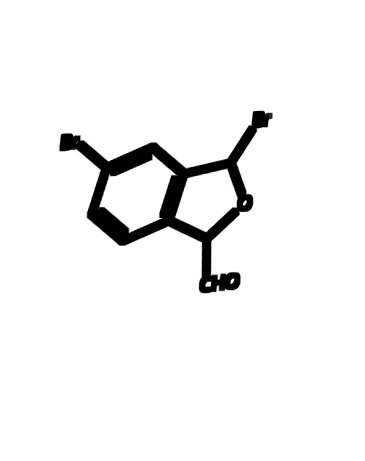 O=CC1OC(Br)c2cc(Br)ccc21